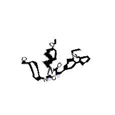 CCOc1ccc(CN2C(=O)/C(=C\c3ccc4c(c3)c3ccccc3n4CC)O/C2=N/c2ccc(C=O)cc2)cc1